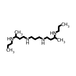 CCCNC(C)CCNCCCNCCC(C)NCCC